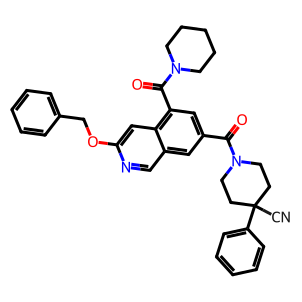 N#CC1(c2ccccc2)CCN(C(=O)c2cc(C(=O)N3CCCCC3)c3cc(OCc4ccccc4)ncc3c2)CC1